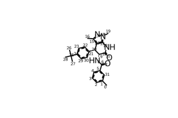 Cc1cccc(C(=O)N[C@H]2C(=O)Nc3c(c(C)nn3C)[C@@H]2c2ccc(C(C)(C)C)cc2)c1